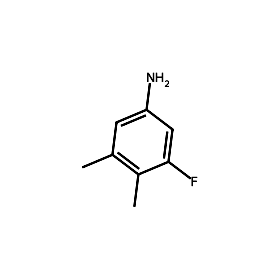 Cc1cc(N)cc(F)c1C